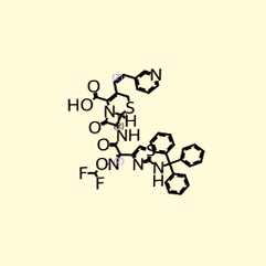 O=C(O)C1=C(/C=C\c2cccnc2)CS[C@@H]2[C@H](NC(=O)/C(=N\OC(F)F)c3csc(NC(c4ccccc4)(c4ccccc4)c4ccccc4)n3)C(=O)N12